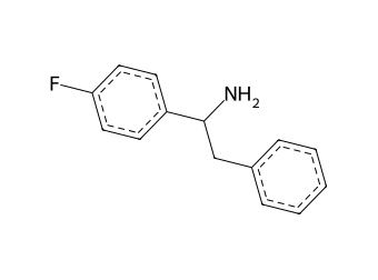 NC(Cc1ccccc1)c1ccc(F)cc1